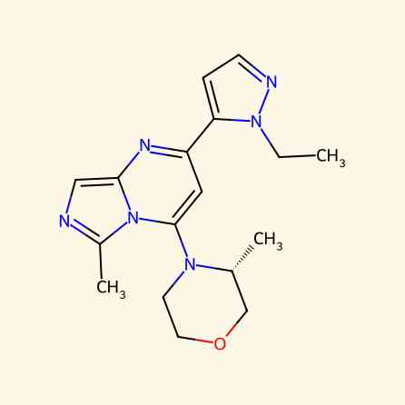 CCn1nccc1-c1cc(N2CCOC[C@H]2C)n2c(C)ncc2n1